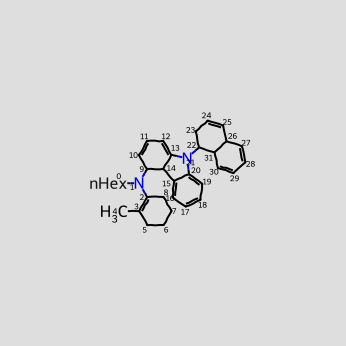 CCCCCCN(C1=C(C)CCCC1)C1C=CC=C2C1c1ccccc1N2C1CC=CC2C=CC=CC21